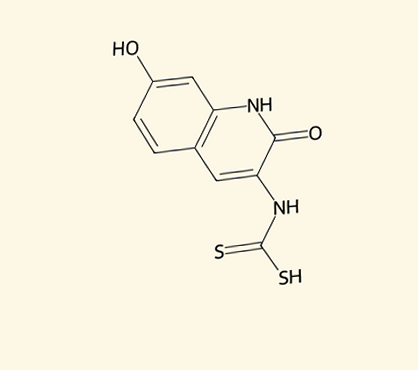 O=c1[nH]c2cc(O)ccc2cc1NC(=S)S